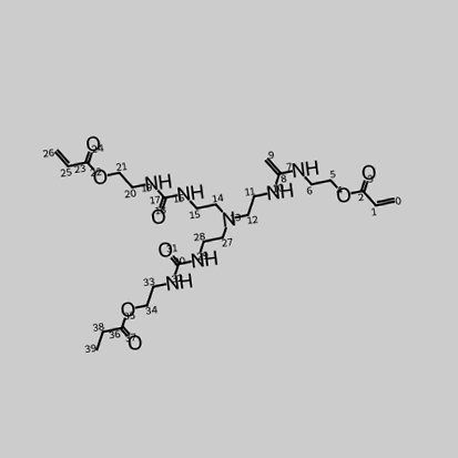 C=CC(=O)OCCNC(=C)NCCN(CCNC(=O)NCCOC(=O)C=C)CCNC(=O)NCCOC(=O)CC